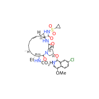 CC[C@@H]1C[C@H](C)CCC=C[C@@H]2C[C@@]2(C(=O)NS(=O)(=O)C2CC2)NC(=O)[C@@H]2C[C@@H](Oc3ncc(OC)c4ccc(Cl)cc34)CN2C(=O)[C@H]1NC(=O)O